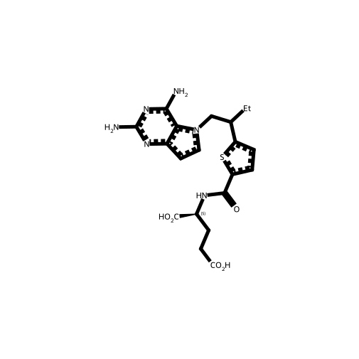 CCC(Cn1ccc2nc(N)nc(N)c21)c1ccc(C(=O)N[C@@H](CCC(=O)O)C(=O)O)s1